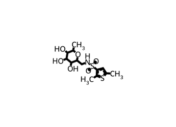 Cc1cc(S(=O)(=O)NCC2OC(C)C(O)C(O)C2O)c(C)s1